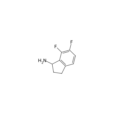 NC1CCc2ccc(F)c(F)c21